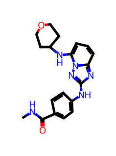 CNC(=O)c1ccc(Nc2nc3cccc(NC4CCOCC4)n3n2)cc1